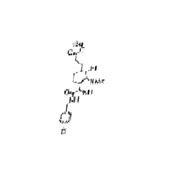 CCC1C(NC)=C(C(=N)C(=O)NCc2ccc(Cl)cc2)CCC1CCC(=O)OC(C)(C)C